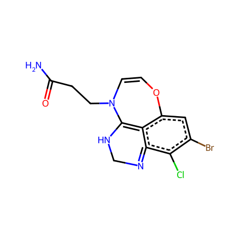 NC(=O)CCN1C=COc2cc(Br)c(Cl)c3c2=C1NCN=3